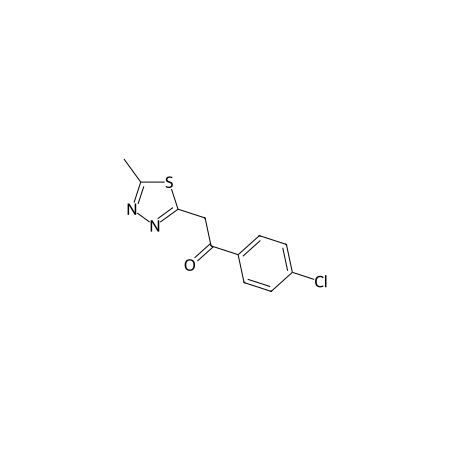 Cc1nnc(CC(=O)c2ccc(Cl)cc2)s1